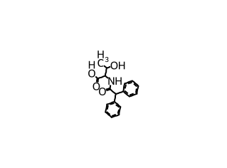 CC(O)C(NC(=O)C(c1ccccc1)c1ccccc1)C(=O)O